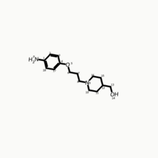 Nc1ccc(OCCCN2CCC(CO)CC2)cc1